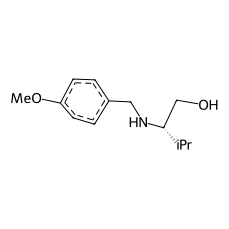 COc1ccc(CN[C@H](CO)C(C)C)cc1